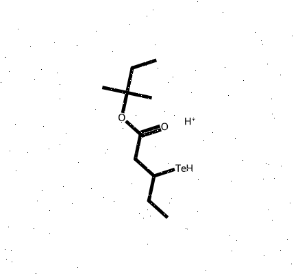 CCC([TeH])CC(=O)OC(C)(C)CC.[H+]